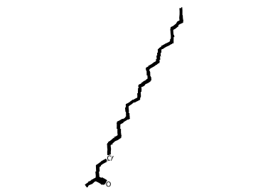 CCCCCCCCCCCCCC[CH2][Cr][CH2]C(C)=O